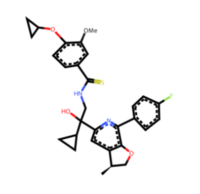 COc1cc(C(=S)NCC(O)(c2cc3c(c(-c4ccc(F)cc4)n2)OC[C@H]3C)C2CC2)ccc1OC1CC1